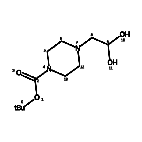 CC(C)(C)OC(=O)N1CCN(CC(O)O)CC1